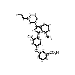 CC=CN1CCCC(c2nc(-c3ccc(Oc4cc(C(=O)O)ccn4)cc3Cl)n3c(N)nccc23)C1